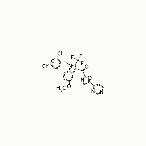 COc1ccc2c(c1)c(C(=O)c1ncc(-c3ccncn3)o1)c(C(F)(F)F)n2Cc1ccc(Cl)cc1Cl